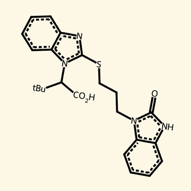 CC(C)(C)C(C(=O)O)n1c(SCCCn2c(=O)[nH]c3ccccc32)nc2ccccc21